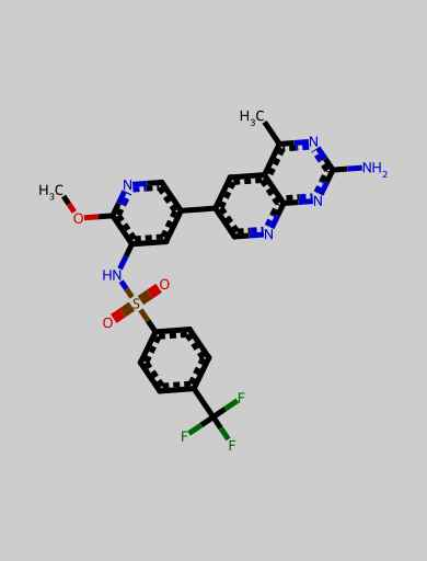 COc1ncc(-c2cnc3nc(N)nc(C)c3c2)cc1NS(=O)(=O)c1ccc(C(F)(F)F)cc1